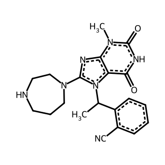 CC(c1ccccc1C#N)n1c(N2CCCNCC2)nc2c1c(=O)[nH]c(=O)n2C